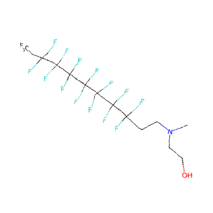 CN(CCO)CCC(F)(F)C(F)(F)C(F)(F)C(F)(F)C(F)(F)C(F)(F)C(F)(F)C(F)(F)F